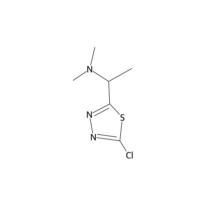 CC(c1nnc(Cl)s1)N(C)C